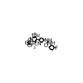 CC(C)(C)c1cc(-c2ccc(NC(=O)Nc3cccc(F)c3)cc2)c(C#N)c(OS(=O)(=O)C(F)(F)F)n1